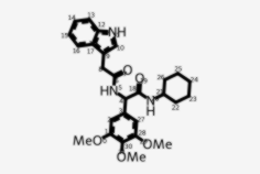 COc1cc(C(NC(=O)Cc2c[nH]c3ccccc23)C(=O)NC2CCCCC2)cc(OC)c1OC